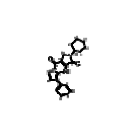 O=C1c2[nH]c3c(-c4ccccc4)cnn3c(=O)c2CN1C1CCCCC1